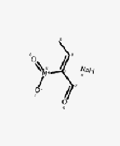 C/C=C(/C=O)[N+](=O)[O-].[NaH]